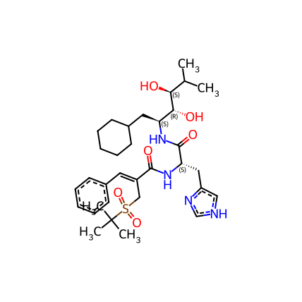 CC(C)[C@H](O)[C@H](O)[C@H](CC1CCCCC1)NC(=O)[C@H](Cc1c[nH]cn1)NC(=O)C(=Cc1ccccc1)CS(=O)(=O)C(C)(C)C